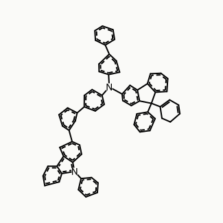 C1=CCCC(C2(c3ccccc3)c3ccccc3-c3cc(N(c4ccc(-c5ccccc5)cc4)c4ccc(-c5cccc(-c6ccc7c(c6)c6ccccc6n7-c6ccccc6)c5)cc4)ccc32)=C1